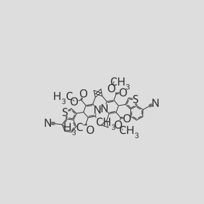 COC(=O)C1=C(C2CC2)N(N2C(C3CC3)=C(C(=O)OC)C(c3csc4c(C#N)cccc34)C(C(=O)OC)=C2C2CC2)C(C)=C(C(C)=O)C1c1csc2c(C#N)cccc12